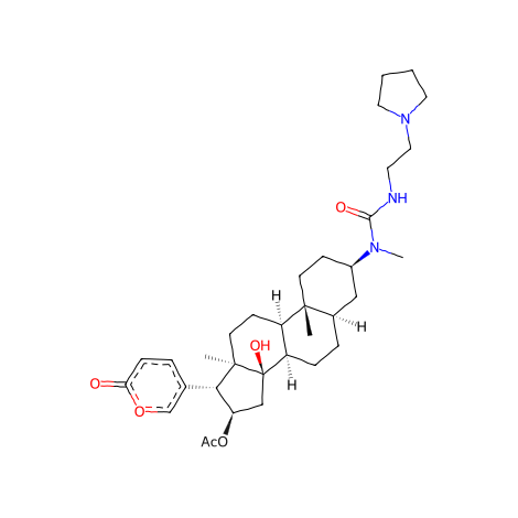 CC(=O)O[C@@H]1C[C@@]2(O)[C@@H]3CC[C@@H]4C[C@H](N(C)C(=O)NCCN5CCCC5)CC[C@@]4(C)[C@@H]3CC[C@]2(C)[C@H]1c1ccc(=O)oc1